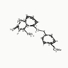 COc1ccc(COc2cccc3[nH]c(=O)nc(N)c23)cc1